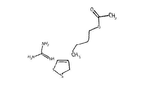 C1=CSSC1.CCCCOC(C)=O.N=C(N)N